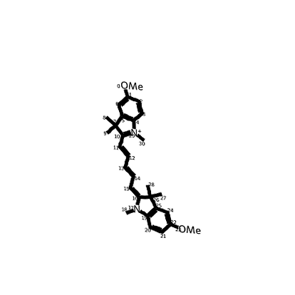 COc1ccc2c(c1)C(C)(C)C(/C=C/C=C/C=C1/N(C)c3ccc(OC)cc3C1(C)C)=[N+]2C